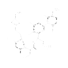 COc1ccc(C)c(-c2cc(C)c(F)c(C(CC(=O)O)NC(=O)C(CC(C)C)n3cc(CCN4CC(OC)C4)c(C(F)(F)F)cc3=O)c2)c1C